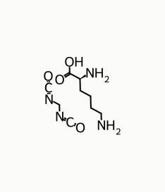 NCCCC[C@H](N)C(=O)O.O=C=NCN=C=O